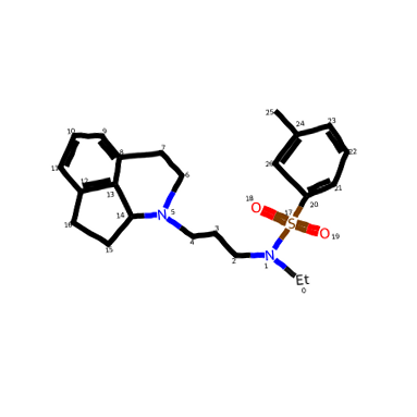 CCN(CCCN1CCc2cccc3c2C1CC3)S(=O)(=O)c1cccc(C)c1